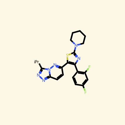 CC(C)c1nnc2ccc(-c3sc(N4CCCCC4)nc3-c3ccc(F)cc3F)nn12